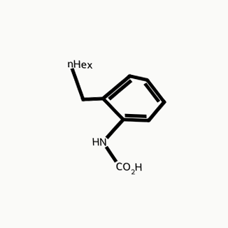 CCCCCCCc1ccccc1NC(=O)O